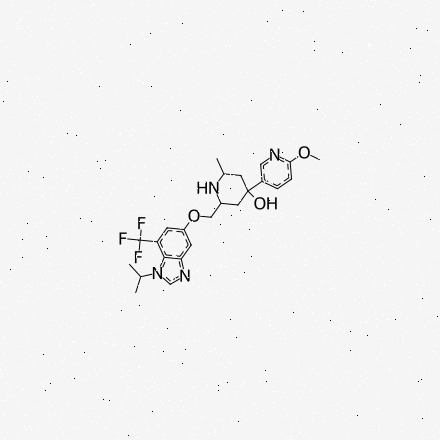 COc1ccc(C2(O)CC(C)NC(COc3cc(C(F)(F)F)c4c(c3)ncn4C(C)C)C2)cn1